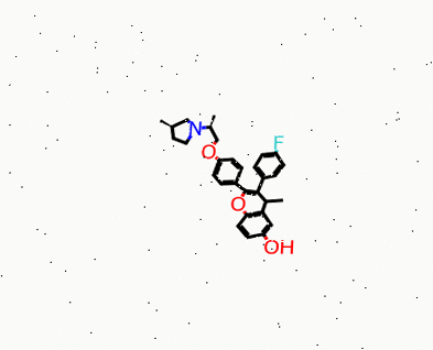 CC1C(c2ccc(F)cc2)=C(c2ccc(OC[C@H](C)N3CC[C@@H](C)C3)cc2)Oc2ccc(O)cc21